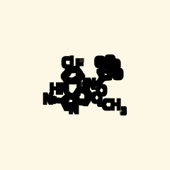 CCOc1cc2ncc(C#N)c(Nc3ccc(F)c(Cl)c3)c2cc1NC(=O)C1CS(=O)(=O)S(=O)(=O)C1